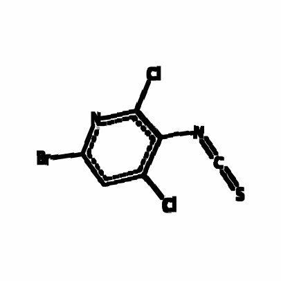 S=C=Nc1c(Cl)cc(Br)nc1Cl